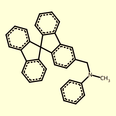 CN(Cc1ccc2c(c1)-c1ccccc1C21c2ccccc2-c2ccccc21)c1ccccc1